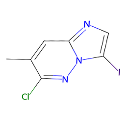 Cc1cc2ncc(I)n2nc1Cl